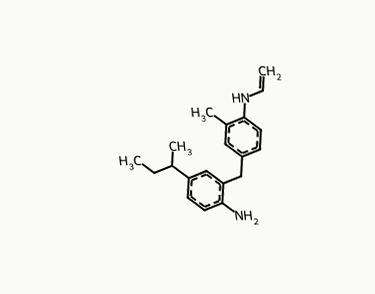 C=CNc1ccc(Cc2cc(C(C)CC)ccc2N)cc1C